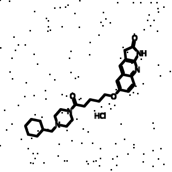 Cl.O=C1Cc2cc3cc(OCCCCC(=O)N4CCN(CC5CCCCC5)CC4)ccc3nc2N1